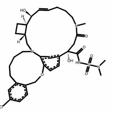 CN1CCC/C=C/[C@H](O)[C@@H]2CC[C@H]2CN2CCCCc3cc(Cl)ccc3COc3ccc(cc32)[C@](O)(C(=O)NS(=O)(=O)N(C)C)CC1=O